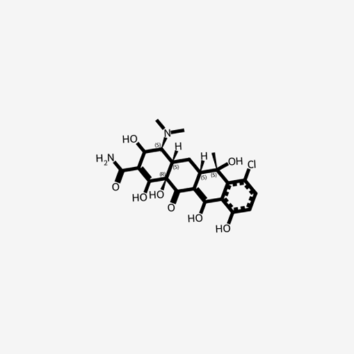 CN(C)[C@@H]1C(O)C(C(N)=O)=C(O)[C@@]2(O)C(=O)C3=C(O)c4c(O)ccc(Cl)c4[C@@](C)(O)[C@H]3C[C@@H]12